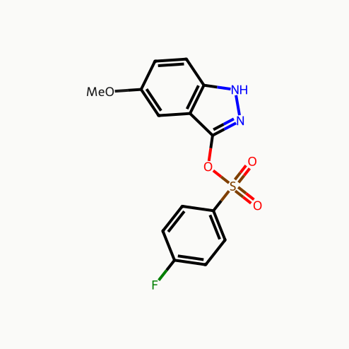 COc1ccc2[nH]nc(OS(=O)(=O)c3ccc(F)cc3)c2c1